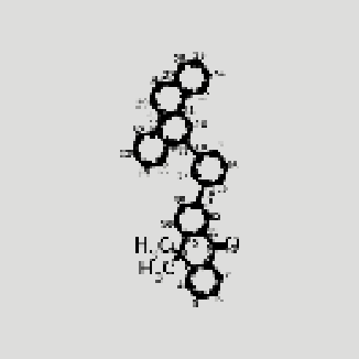 CC1(C)c2ccccc2C(=O)c2cc(-c3cccc(-c4cc5c6ccccc6ccc5c5ccccc45)c3)ccc21